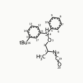 CC(CO[SiH](c1ccccc1)c1cccc(C(C)(C)C)c1)N=C=O